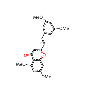 COc1cc(/C=C/c2cc(=O)c3c(OC)cc(OC)cc3o2)cc(OC)c1